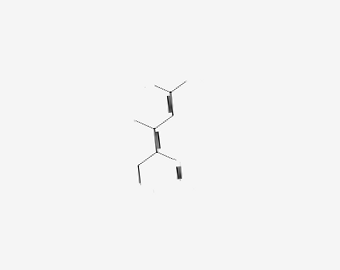 C=N/C(CC)=C(/Cl)C=C(C)C